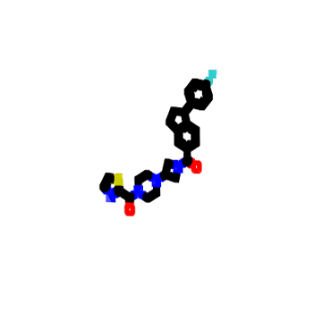 O=C(c1ccc2c(c1)CCC2c1ccc(F)cc1)N1CC(N2CCN(C(=O)c3nccs3)CC2)C1